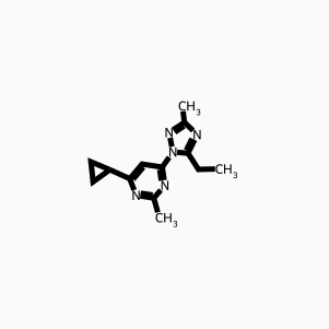 CCc1nc(C)nn1-c1cc(C2CC2)nc(C)n1